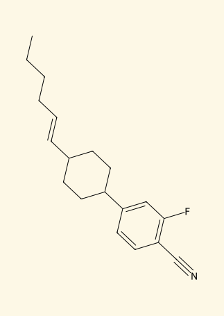 CCCC/C=C/C1CCC(c2ccc(C#N)c(F)c2)CC1